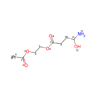 CC(C)C(=O)OCCOC(=O)CCC(N)O